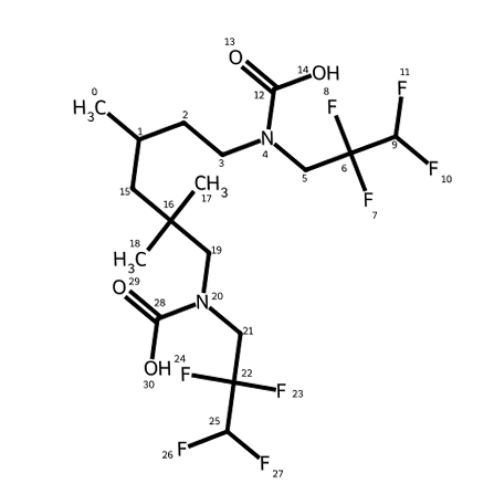 CC(CCN(CC(F)(F)C(F)F)C(=O)O)CC(C)(C)CN(CC(F)(F)C(F)F)C(=O)O